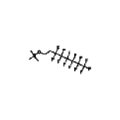 C[Si](C)(C)OCCC(F)(F)C(F)(F)C(F)(F)C(F)(F)C(F)(F)C(F)(F)F